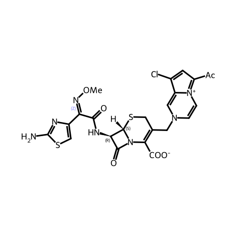 CO/N=C(\C(=O)N[C@@H]1C(=O)N2C(C(=O)[O-])=C(Cn3cc[n+]4c(C(C)=O)cc(Cl)c-4c3)CS[C@@H]12)c1csc(N)n1